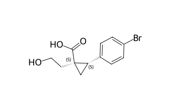 O=C(O)[C@]1(CCO)C[C@H]1c1ccc(Br)cc1